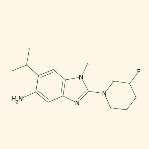 CC(C)c1cc2c(cc1N)nc(N1CCCC(F)C1)n2C